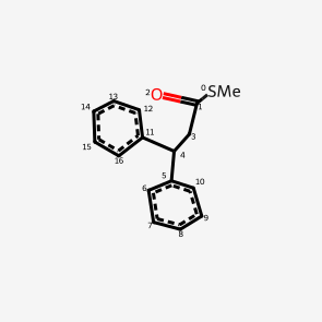 CSC(=O)CC(c1ccccc1)c1ccccc1